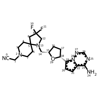 N#CCN1CCC2(CC1)CC(F)(F)CN2C[C@@H]1CC[C@H](c2ccc3c(N)ncnn23)O1